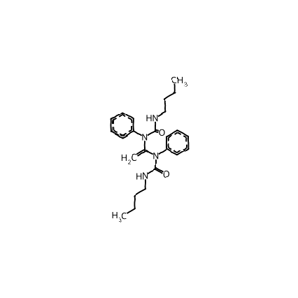 C=C(N(C(=O)NCCCC)c1ccccc1)N(C(=O)NCCCC)c1ccccc1